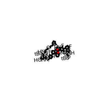 C[C@H](NC(=O)C1C[C@@H](O)CN1C(=O)[C@@H](NC(=O)CCOCCCN1CCCC1COc1nc(N2CC3CCC(C2)N3C(=O)OC(C)(C)C)c2cc(Cl)c(-c3ccc(F)c4sc(NC(=O)OC(C)(C)C)c(C#N)c34)c(F)c2n1)C(C)(C)C)c1ccc(-c2c(F)cc(F)cc2F)cc1